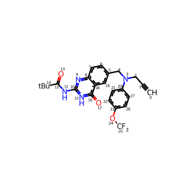 C#CCN(Cc1ccc2nc(NC(=O)C(C)(C)C)[nH]c(=O)c2c1)c1ccc(OC(F)(F)F)cc1